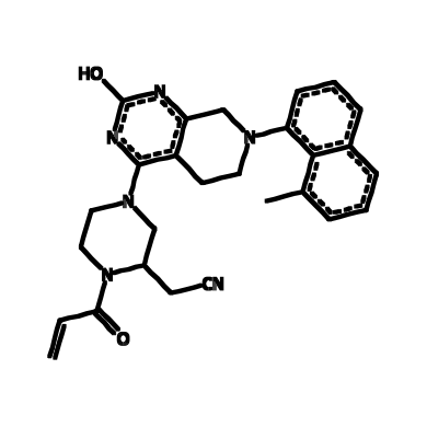 C=CC(=O)N1CCN(c2nc(O)nc3c2CCN(c2cccc4cccc(C)c24)C3)CC1CC#N